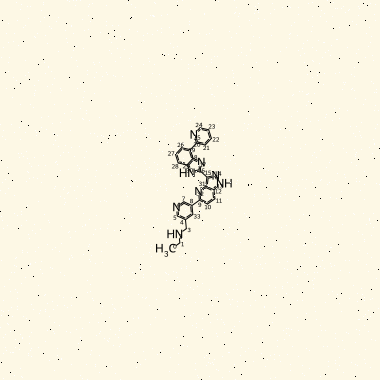 CCNCc1cncc(-c2ccc3[nH]nc(-c4nc5c(-c6ccccn6)cccc5[nH]4)c3n2)c1